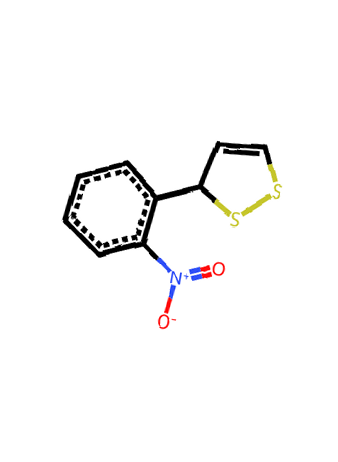 O=[N+]([O-])c1ccccc1C1C=CSS1